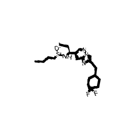 CCCC[S@+]([O-])N[C@@H](CC)c1cnn2cc(CC3CCC(F)(F)CC3)nc2c1